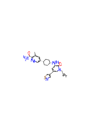 Cc1cc([C@H]2CC[C@@H](Nc3cc(-c4cnsc4)cn(CC(C)C)c3=O)CC2)cnc1C(N)=O